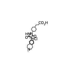 CN1CCc2ccc(-n3c(=O)[nH]n([C@H]4CC[C@H](CCC(=O)O)CC4)c3=O)cc2CC1.Cl